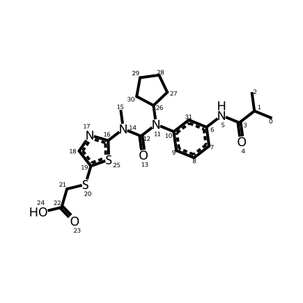 CC(C)C(=O)Nc1cccc(N(C(=O)N(C)c2ncc(SCC(=O)O)s2)C2CCCC2)c1